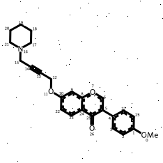 COc1ccc(-c2coc3cc(OCC#CCN4CCCCC4)ccc3c2=O)cc1